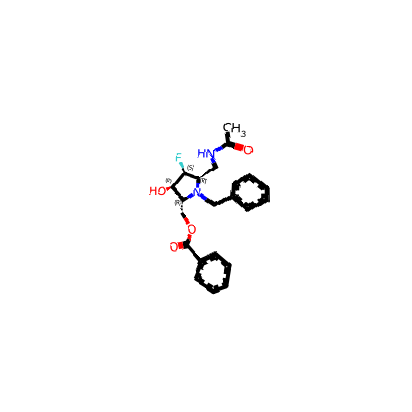 CC(=O)NC[C@@H]1[C@H](F)[C@H](O)[C@@H](COC(=O)c2ccccc2)N1Cc1ccccc1